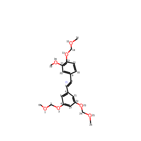 COCOc1cc(/C=C/c2ccc(OCOC)c(OC)c2)cc(OCOC)c1